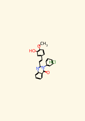 COc1ccc(C=Cc2nc3ccccc3c(=O)n2-c2ccccc2)cc1O.Cl